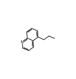 CCCc1cccc2n[c]ccc12